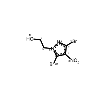 O=[N+]([O-])c1c(Br)nn(CCO)c1Br